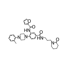 Cc1ccccc1N1CCN(c2ccc(C(=O)NCCCN3CCCCC3=O)cc2NC(=O)c2ccco2)CC1